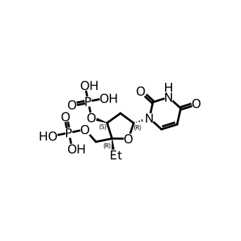 CC[C@]1(COP(=O)(O)O)O[C@@H](n2ccc(=O)[nH]c2=O)C[C@@H]1OP(=O)(O)O